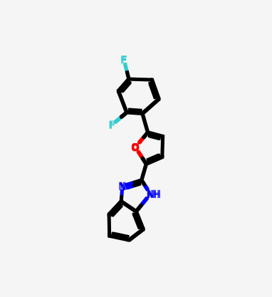 Fc1ccc(-c2ccc(-c3nc4ccccc4[nH]3)o2)c(F)c1